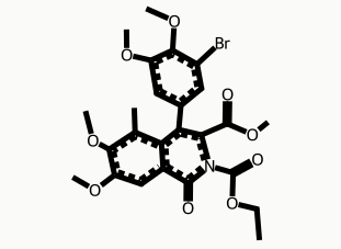 CCOC(=O)n1c(C(=O)OC)c(-c2cc(Br)c(OC)c(OC)c2)c2c(C)c(OC)c(OC)cc2c1=O